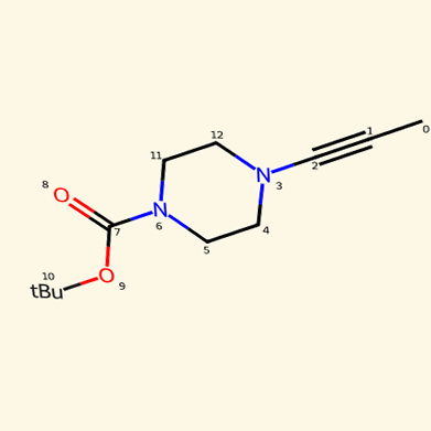 CC#CN1CCN(C(=O)OC(C)(C)C)CC1